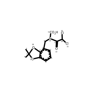 CC1(C)Oc2cccc(CN(C(=O)O)C(=O)C(Cl)Cl)c2O1